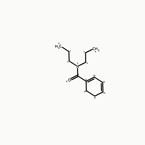 CCCN(CCC)C(=O)C1=CC=CC[CH]1